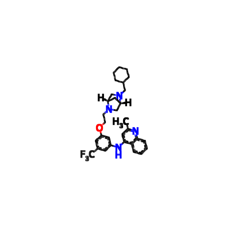 Cc1cc(Nc2cc(OCCN3C[C@@H]4C[C@H]3CN4CC3CCCCC3)cc(C(F)(F)F)c2)c2ccccc2n1